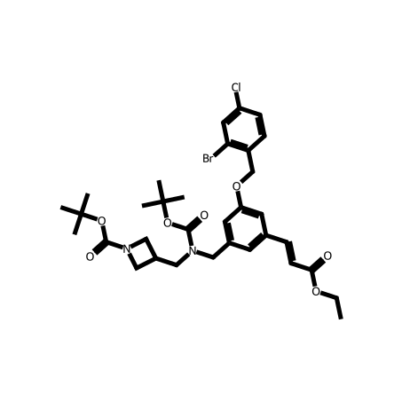 CCOC(=O)C=Cc1cc(CN(CC2CN(C(=O)OC(C)(C)C)C2)C(=O)OC(C)(C)C)cc(OCc2ccc(Cl)cc2Br)c1